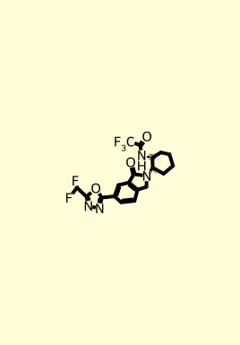 O=C1c2cc(-c3nnc(C(F)F)o3)ccc2CN1[C@@H]1CCCC[C@H]1NC(=O)C(F)(F)F